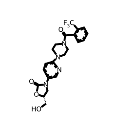 O=C(c1ccccc1C(F)(F)F)N1CCN(c2ccc(N3C[C@H](CO)OC3=O)cn2)CC1